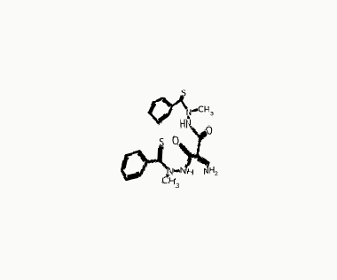 CN(NC(=O)C(=CN)C(=O)NN(C)C(=S)c1ccccc1)C(=S)c1ccccc1